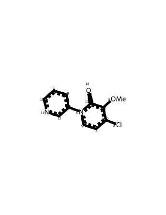 COc1c(Cl)ccn(-c2cccnc2)c1=O